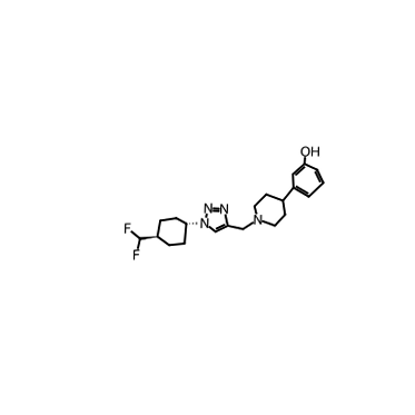 Oc1cccc(C2CCN(Cc3cn([C@H]4CC[C@H](C(F)F)CC4)nn3)CC2)c1